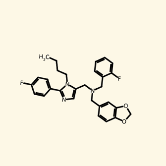 CCCCn1c(CN(Cc2ccc3c(c2)OCO3)Cc2ccccc2F)cnc1-c1ccc(F)cc1